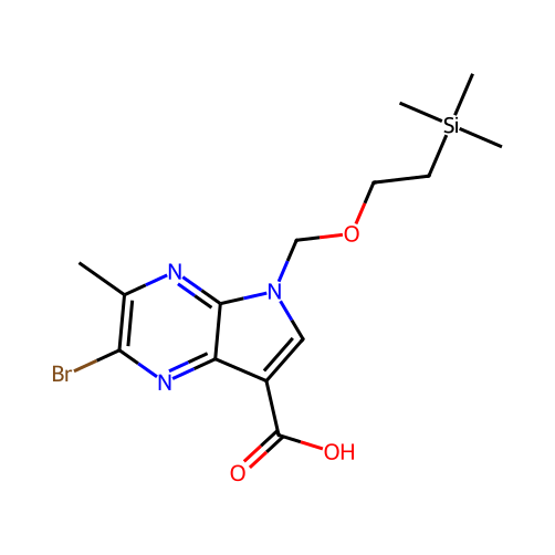 Cc1nc2c(nc1Br)c(C(=O)O)cn2COCC[Si](C)(C)C